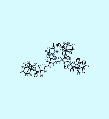 CCC(C)(CCC(C)(CCCC(C)(CCCC(C)(C)C(=O)OC12CC3CC(CC(C3)C1C)C2)C(=O)OC1(C)CCCC1)C(=O)OC12CC3CC(CC(O)(C3)C1)C2)C(=O)OC1C2CC3C(=O)OC1C3C2